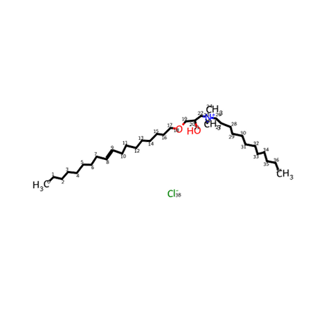 CCCCCCCCC=CCCCCCCCCOCC(O)C[N+](C)(C)CCCCCCCCCCCC.[Cl-]